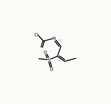 C=C(Cl)/N=C\C(=C/C)S(C)(=O)=O